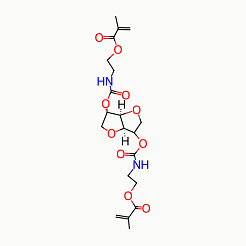 C=C(C)C(=O)OCCNC(=O)OC1CO[C@H]2[C@@H]1OC[C@H]2OC(=O)NCCOC(=O)C(=C)C